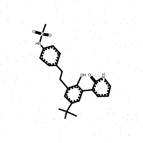 CC(C)(C)c1cc(CCc2ccc(NS(C)(=O)=O)cc2)c(O)c(-c2ccc[nH]c2=O)c1